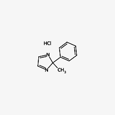 CC1(c2ccccc2)N=CC=N1.Cl